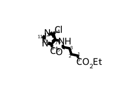 CCOC(=O)CCCC(=O)Nc1c(Cl)ncnc1Cl